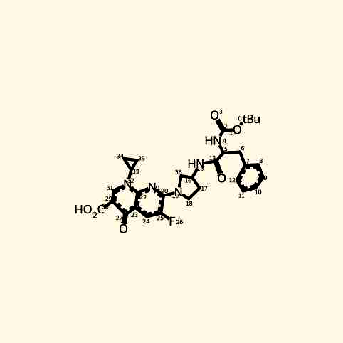 CC(C)(C)OC(=O)NC(Cc1ccccc1)C(=O)NC1CCN(c2nc3c(cc2F)c(=O)c(C(=O)O)cn3C2CC2)C1